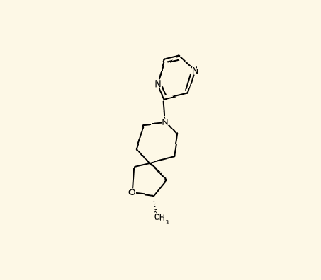 C[C@H]1CC2(CCN(c3cnccn3)CC2)CO1